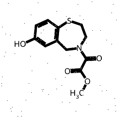 COC(=O)C(=O)N1CCSc2ccc(O)cc2C1